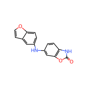 O=c1[nH]c2ccc(Nc3ccc4occc4c3)cc2o1